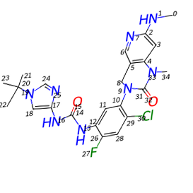 CNc1cc2c(cn1)CN(c1cc(NC(=O)Nc3cn(C(C)(C)C)cn3)c(F)cc1Cl)C(=O)N2C